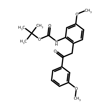 COc1cccc(C(=O)Cc2ccc(OC)cc2NC(=O)OC(C)(C)C)c1